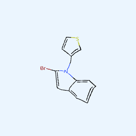 Brc1cc2ccccc2n1-c1ccsc1